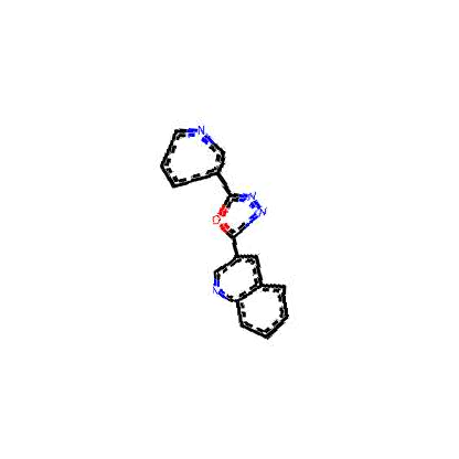 c1cncc(-c2nnc(-c3cnc4ccccc4c3)o2)c1